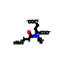 CCCCCCCCCCCC(=O)NC(CCC(=O)[O-])C(=O)[O-].[K+].[K+]